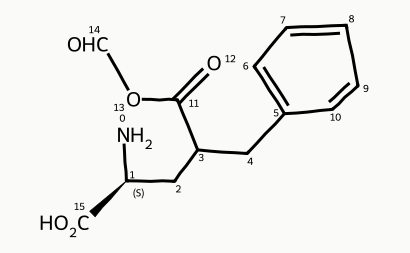 N[C@@H](CC(Cc1ccccc1)C(=O)OC=O)C(=O)O